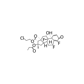 CCC(=O)O[C@@]1(C)C[C@H]2[C@@H]3C[C@H](F)C4=C(F)C(=O)C=C[C@]4(C)[C@@]3(F)[C@@H](O)C[C@]2(C)[C@H]1C(=O)OCCCl